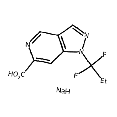 CCC(F)(F)n1ncc2cnc(C(=O)O)cc21.[NaH]